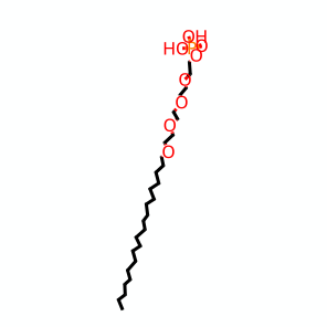 CCCCCCCCCCCCCCCCCCCCOCCOCCOCCOCCOP(=O)(O)O